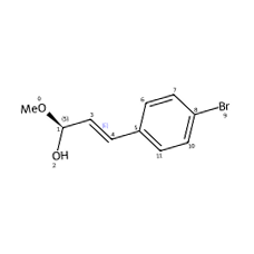 CO[C@H](O)/C=C/c1ccc(Br)cc1